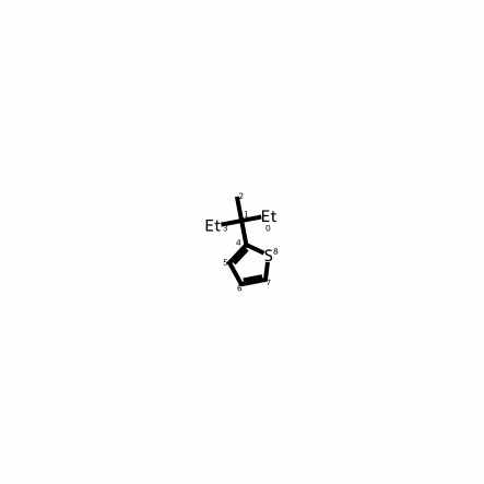 CCC(C)(CC)c1cccs1